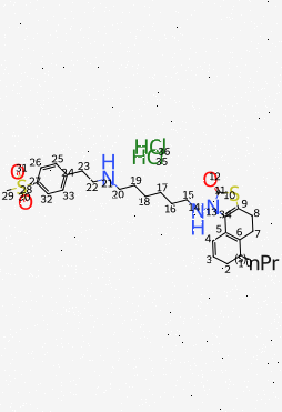 CCC[C@H]1CC=CC2=C1CCc1sc(=O)n(NCCCCCCNCCc3ccc(S(C)(=O)=O)cc3)c12.Cl.Cl